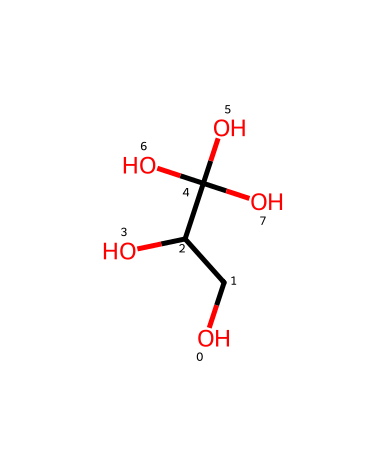 OCC(O)C(O)(O)O